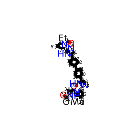 CCC(=O)N1C[C@@H](C)C[C@H]1c1ncc(-c2ccc(-c3ccc(-c4cnc([C@@H]5C[C@H](C)CN5C(=O)[C@H](C)NC(=O)OC)[nH]4)cc3)cc2)[nH]1